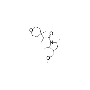 COCC1C[C@@H](C)N(C(=O)C(C)C2(C)CCOCC2)C1C